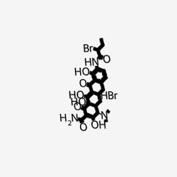 Br.CCC(Br)C(=O)Nc1ccc2c(c1O)C(=O)C1=C(O)C3(O)C(=O)C(C(N)=O)=C(O)[C@@H](N(C)C)C3CC1C2